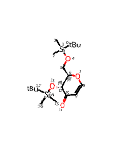 CC(C)(C)[Si](C)(C)OC[C@H]1OC=CC(=O)[C@@H]1O[Si](C)(C)C(C)(C)C